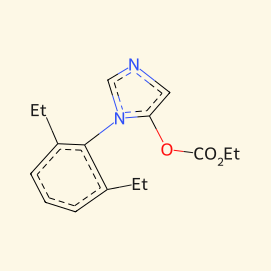 CCOC(=O)Oc1cncn1-c1c(CC)cccc1CC